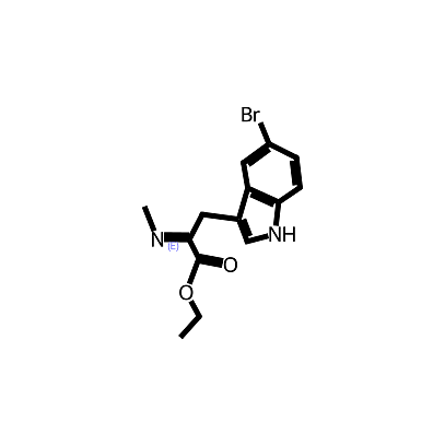 CCOC(=O)/C(Cc1c[nH]c2ccc(Br)cc12)=N/C